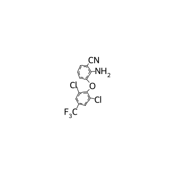 N#Cc1cccc(Oc2c(Cl)cc(C(F)(F)F)cc2Cl)c1N